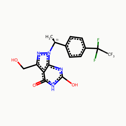 C[C@@H](c1ccc(C(F)(F)C(F)(F)F)cc1)n1nc(CO)c2c(=O)[nH]c(O)nc21